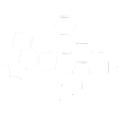 CC(C)(C)Cc1nc2c(c(=O)n(-c3ccccc3)c(=O)n2CC2CC2)n1Cc1ccc(-c2ccccc2-c2nnn[nH]2)cc1